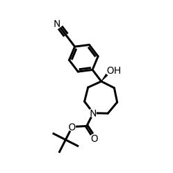 CC(C)(C)OC(=O)N1CCC[C@@](O)(c2ccc(C#N)cc2)CC1